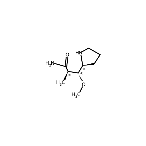 CO[C@@H]([C@@H]1CCCN1)[C@@H](C)C(N)=O